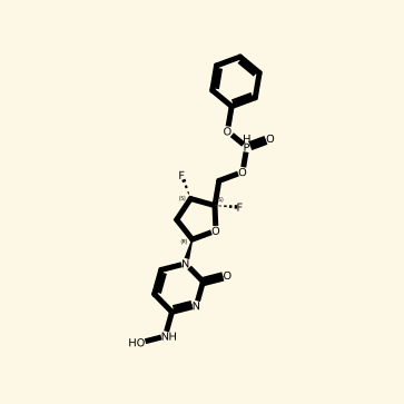 O=c1nc(NO)ccn1[C@H]1C[C@H](F)[C@@](F)(CO[PH](=O)Oc2ccccc2)O1